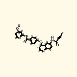 CC#CC(=O)Nc1ccc2nccc(Oc3ccc(C(=O)Nc4cc(OC)ccn4)cc3)c2c1